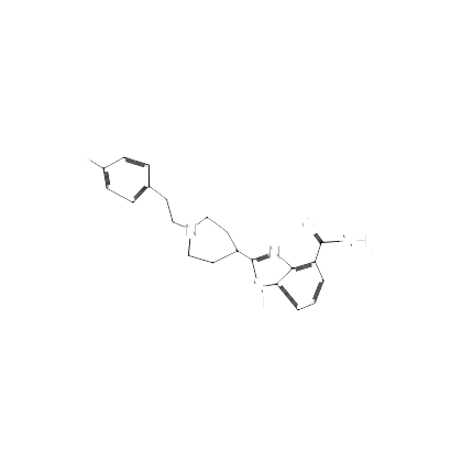 NC(=O)c1cccc2[nH]c(C3CCN(CCc4ccc(I)cc4)CC3)nc12